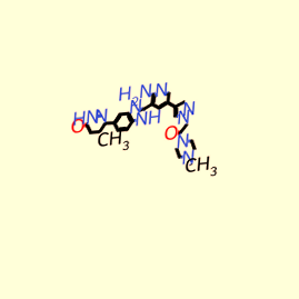 CC1CC(=O)NN=C1c1ccc2[nH]c(-c3cc(-c4cnn(CC(=O)N5CCN(C)CC5)c4)cnc3N)nc2c1